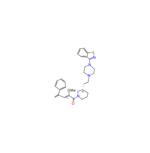 C=C(/C=C(\OC)C(=O)N1CCC[C@@H](CCN2CCN(c3nsc4ccccc34)CC2)C1)c1ccccc1